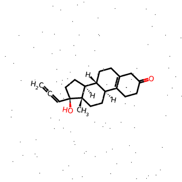 C=C=C[C@]1(O)CC[C@H]2[C@@H]3CCC4=C(CCC(=O)C4)[C@H]3CC[C@@]21C